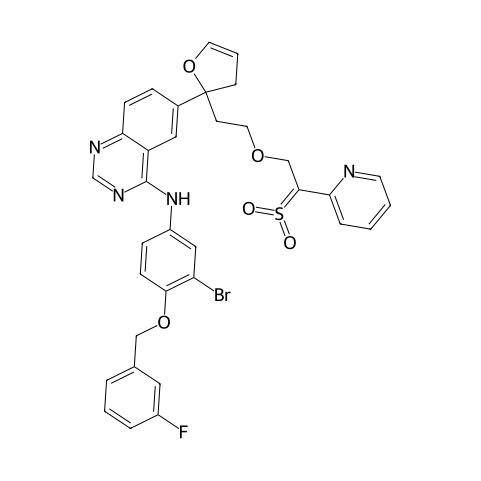 O=S(=O)=C(COCCC1(c2ccc3ncnc(Nc4ccc(OCc5cccc(F)c5)c(Br)c4)c3c2)CC=CO1)c1ccccn1